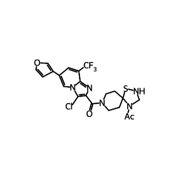 CC(=O)N1CNSC12CCN(C(=O)c1nc3c(C(F)(F)F)cc(-c4ccoc4)cn3c1Cl)CC2